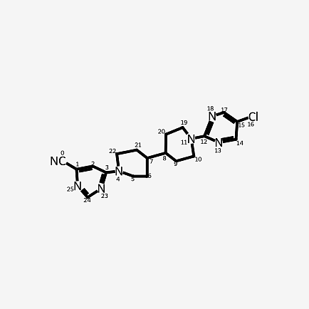 N#Cc1cc(N2CCC(C3CCN(c4ncc(Cl)cn4)CC3)CC2)ncn1